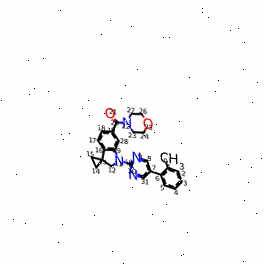 Cc1ccccc1-c1cnc(N2CC3(CC3)c3ccc(C(=O)N4CCOCC4)cc32)nc1